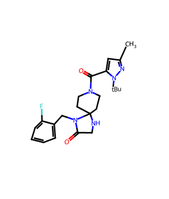 Cc1cc(C(=O)N2CCC3(CC2)NCC(=O)N3Cc2ccccc2F)n(C(C)(C)C)n1